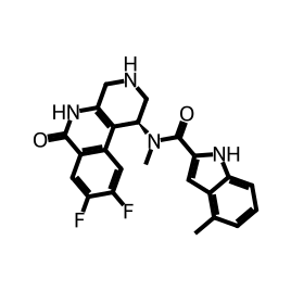 Cc1cccc2[nH]c(C(=O)N(C)[C@@H]3CNCc4[nH]c(=O)c5cc(F)c(F)cc5c43)cc12